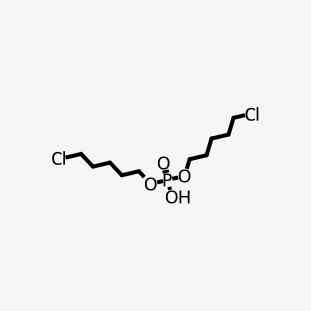 O=P(O)(OCCCCCCl)OCCCCCCl